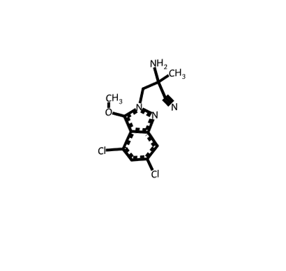 COc1c2c(Cl)cc(Cl)cc2nn1CC(C)(N)C#N